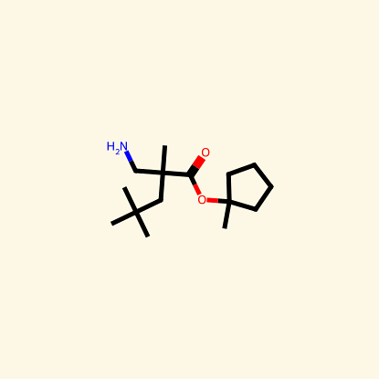 CC(C)(C)CC(C)(CN)C(=O)OC1(C)CCCC1